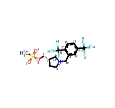 CS(=O)(=O)OC[C@H]1CCN(Cc2cc(C(F)(F)F)ccc2C(F)(F)F)C1